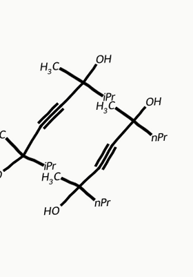 CC(C)C(C)(O)C#CC(C)(O)C(C)C.CCCC(C)(O)C#CC(C)(O)CCC